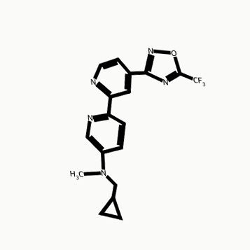 CN(CC1CC1)c1ccc(-c2cc(-c3noc(C(F)(F)F)n3)ccn2)nc1